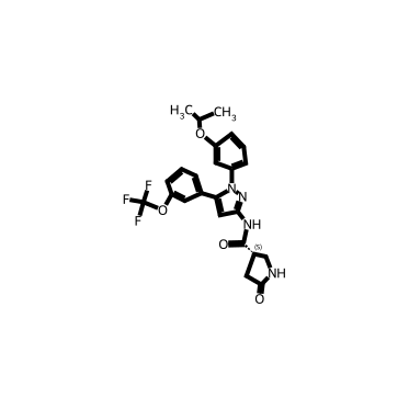 CC(C)Oc1cccc(-n2nc(NC(=O)[C@@H]3CNC(=O)C3)cc2-c2cccc(OC(F)(F)F)c2)c1